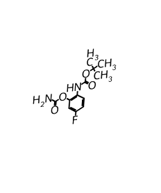 CC(C)(C)OC(=O)Nc1ccc(F)cc1OC(N)=O